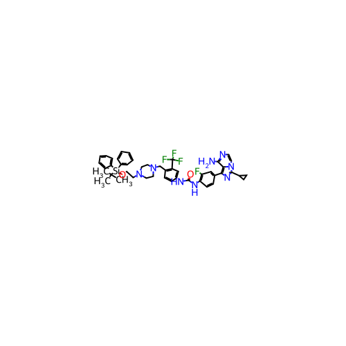 CC(C)(C)[Si](OCCN1CCN(Cc2ccc(NC(=O)Nc3ccc(-c4nc(C5CC5)n5ccnc(N)c45)cc3F)cc2C(F)(F)F)CC1)(c1ccccc1)c1ccccc1